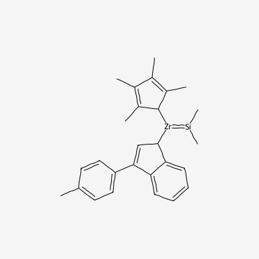 CC1=C(C)[CH]([Zr]([CH]2C=C(c3ccc(C)cc3)c3ccccc32)=[Si](C)C)C(C)=C1C